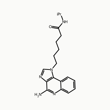 CC(C)NC(=O)CCCCCn1cnc2c(N)nc3ccccc3c21